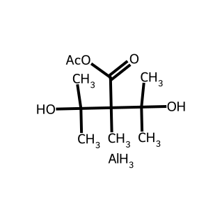 CC(=O)OC(=O)C(C)(C(C)(C)O)C(C)(C)O.[AlH3]